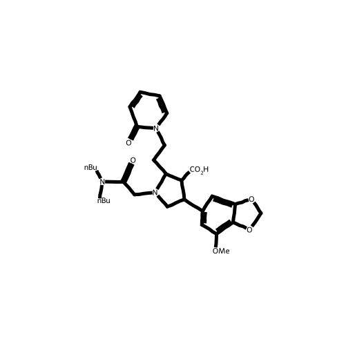 CCCCN(CCCC)C(=O)CN1CC(c2cc(OC)c3c(c2)OCO3)C(C(=O)O)C1CCn1ccccc1=O